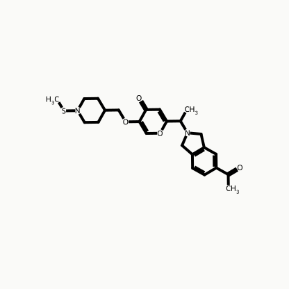 CSN1CCC(COc2coc(C(C)N3Cc4ccc(C(C)=O)cc4C3)cc2=O)CC1